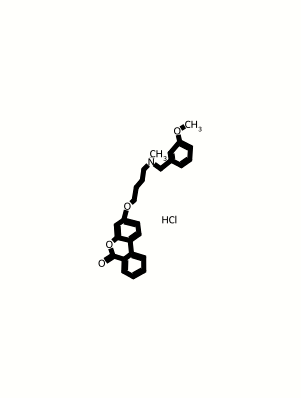 COc1cccc(CN(C)CCCCOc2ccc3c(c2)oc(=O)c2ccccc23)c1.Cl